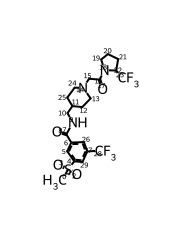 CS(=O)(=O)c1cc(C(=O)NCC2CCN(CC(=O)N3CCCC3C(F)(F)F)CC2)cc(C(F)(F)F)c1